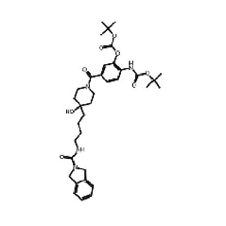 CC(C)(C)OC(=O)Nc1ccc(C(=O)N2CCC(O)(CCCCNC(=O)N3Cc4ccccc4C3)CC2)cc1OC(=O)OC(C)(C)C